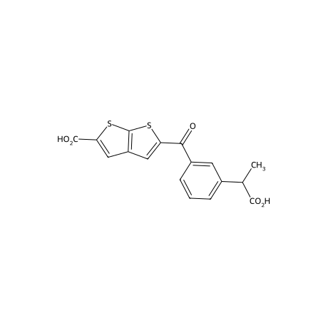 CC(C(=O)O)c1cccc(C(=O)c2cc3cc(C(=O)O)sc3s2)c1